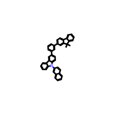 CC1(C)c2ccccc2-c2ccc(-c3cccc(-c4ccc5c(c4)c4ccccc4n5-c4ccc5ccccc5c4)c3)cc21